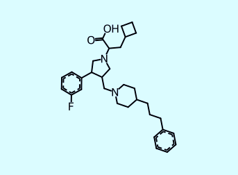 O=C(O)C(CC1CCC1)N1CC(CN2CCC(CCCc3ccccc3)CC2)C(c2cccc(F)c2)C1